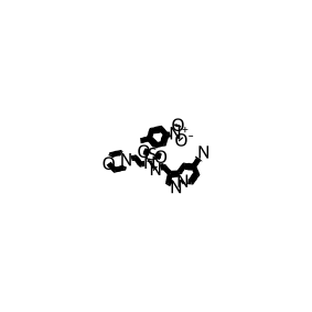 Cc1ccc([N+](=O)[O-])cc1S(=O)(=O)N(CCN1CCOCC1)N=Cc1cnn2ccc(C#N)cc12